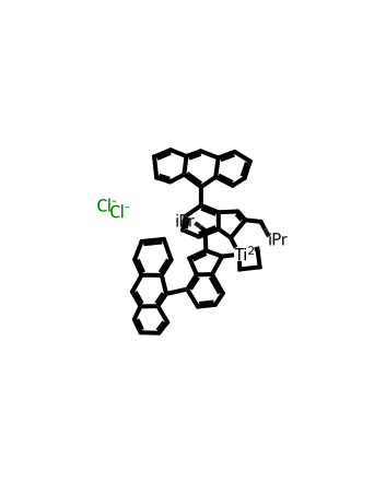 CC(C)CC1=Cc2c(-c3c4ccccc4cc4ccccc34)cccc2[CH]1[Ti+2]1([CH]2C(CC(C)C)=Cc3c(-c4c5ccccc5cc5ccccc45)cccc32)[CH2]C[CH2]1.[Cl-].[Cl-]